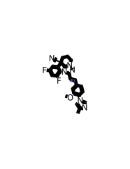 COc1cc(/C=C/c2nc3n(n2)CCC[C@@]3(C#N)c2cc(F)cc(F)c2)ccc1-n1cnc(C)c1